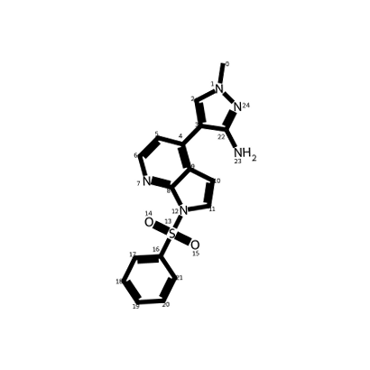 Cn1cc(-c2ccnc3c2ccn3S(=O)(=O)c2ccccc2)c(N)n1